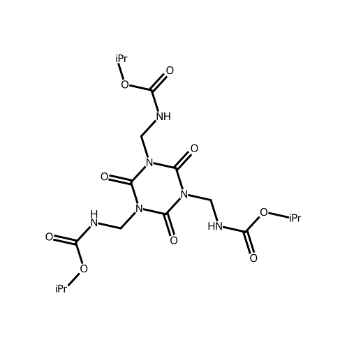 CC(C)OC(=O)NCn1c(=O)n(CNC(=O)OC(C)C)c(=O)n(CNC(=O)OC(C)C)c1=O